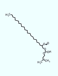 CCCCCCCCCCCCCCCCCCCCCC(COP(O)OCCN(C)C)OC=O